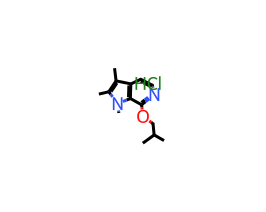 Cc1c(C)n(C)c2c(OCC(C)C)nccc12.Cl